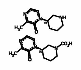 Cc1nccn([C@@H]2CCCN(C(=O)O)C2)c1=O.Cc1nccn([C@@H]2CCCNC2)c1=O